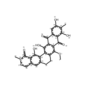 COc1c2c(c(O)c3c1C(=O)c1c(cc(O)c(C)c1O)C3=O)-c1c(cc3cnn(C)c(=O)c3c1O)CC2